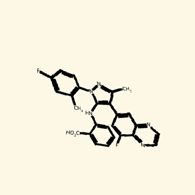 Cc1cc(F)ccc1-n1nc(C)c(-c2cc(F)c3nccnc3c2)c1Nc1ccccc1C(=O)O